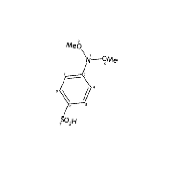 CON(OC)c1ccc(S(=O)(=O)O)cc1